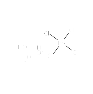 O.O.O.[Cl][Pb]([Cl])([Cl])[Cl]